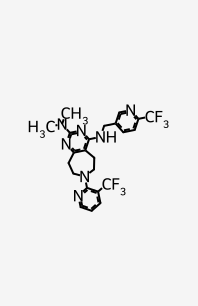 CN(C)c1nc2c(c(NCc3ccc(C(F)(F)F)nc3)n1)CCN(c1ncccc1C(F)(F)F)CC2